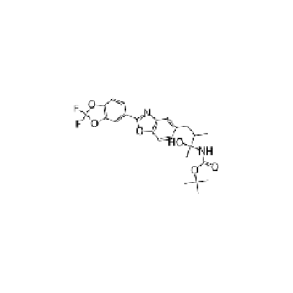 CC(Cc1ccc2oc(-c3ccc4c(c3)OC(F)(F)O4)nc2c1)[C@@](C)(O)NC(=O)OC(C)(C)C